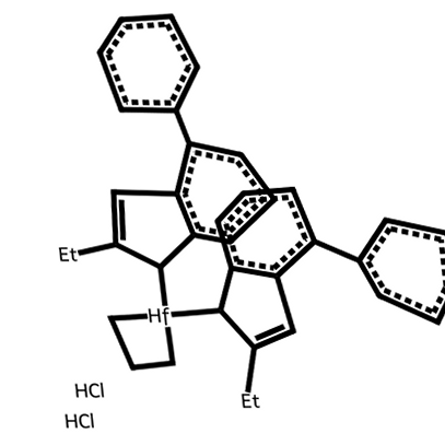 CCC1=Cc2c(-c3ccccc3)cccc2[CH]1[Hf]1([CH]2C(CC)=Cc3c(-c4ccccc4)cccc32)[CH2]C[CH2]1.Cl.Cl